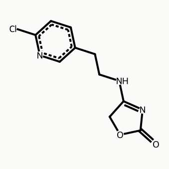 O=C1N=C(NCCc2ccc(Cl)nc2)CO1